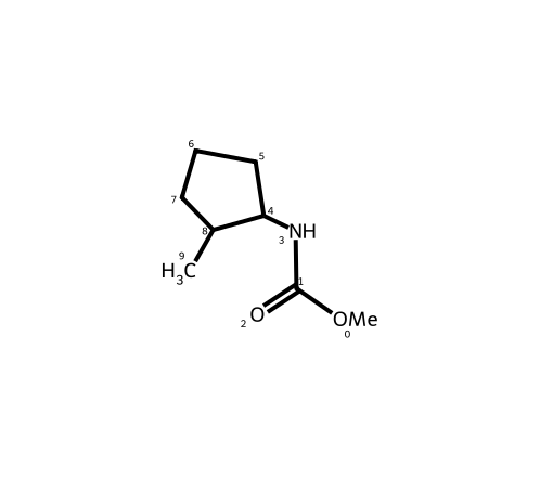 COC(=O)NC1CCCC1C